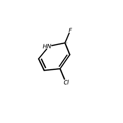 F[C]1C=C(Cl)C=CN1